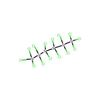 Cl[Si](Cl)(Cl)[Si](Cl)(Cl)[Si](Cl)(Cl)[Si](Cl)(Cl)[Si](Cl)(Cl)[Si](Cl)(Cl)Cl